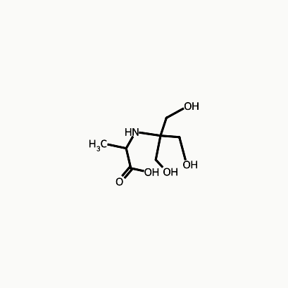 CC(NC(CO)(CO)CO)C(=O)O